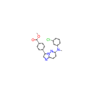 COC(=O)c1ccc(-c2cnc3ccc(N(C)c4cccc(Cl)c4)nn23)cc1